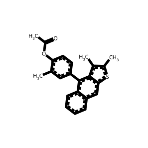 CC(=O)Oc1ccc(-c2c3ccccc3cc3sc(C)c(C)c23)cc1C